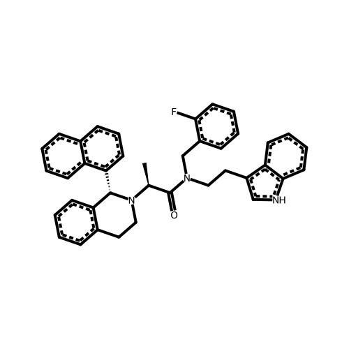 C[C@@H](C(=O)N(CCc1c[nH]c2ccccc12)Cc1ccccc1F)N1CCc2ccccc2[C@@H]1c1cccc2ccccc12